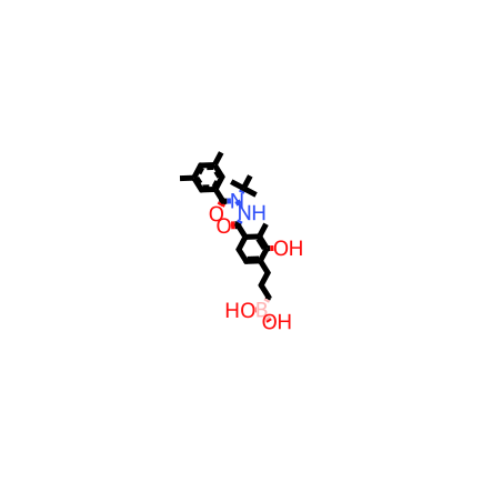 CC1=C(O)C(CCCB(O)O)=CCC1C(=O)NN(C(=O)c1cc(C)cc(C)c1)C(C)(C)C